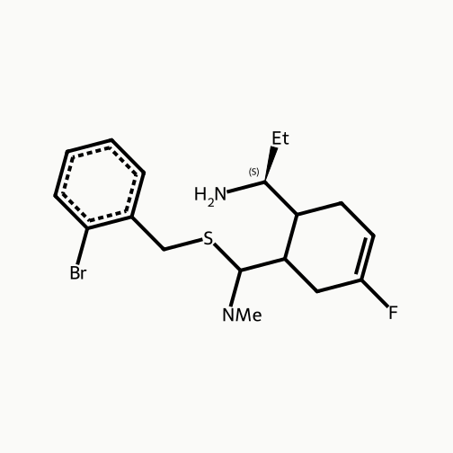 CC[C@H](N)C1CC=C(F)CC1C(NC)SCc1ccccc1Br